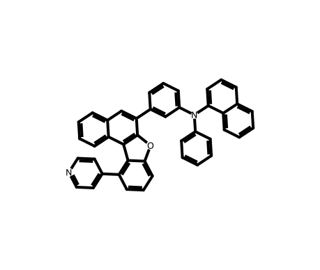 c1ccc(N(c2cccc(-c3cc4ccccc4c4c3oc3cccc(-c5ccncc5)c34)c2)c2cccc3ccccc23)cc1